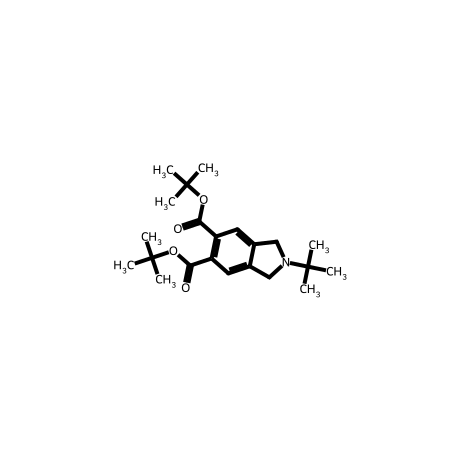 CC(C)(C)OC(=O)c1cc2c(cc1C(=O)OC(C)(C)C)CN(C(C)(C)C)C2